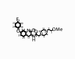 COCCN1CCN(CC(=O)NC(Cc2ccc(Oc3ccc(F)cc3)cc2)C(N)=O)CC1